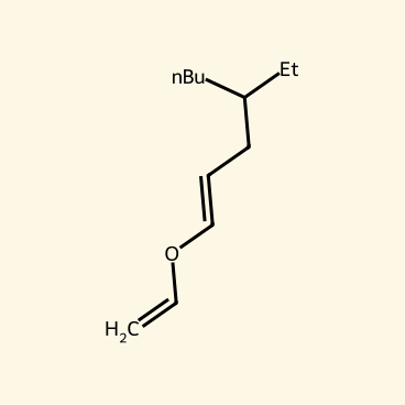 C=COC=CCC(CC)CCCC